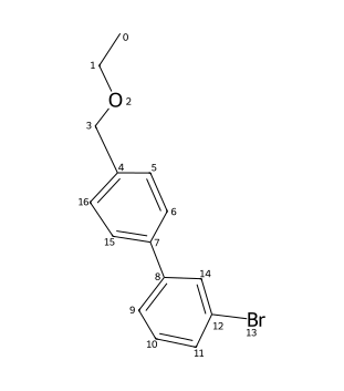 CCOCc1ccc(-c2cccc(Br)c2)cc1